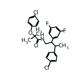 CC(c1ccc(Cl)cc1)C(CNC(=O)C(C)(C)Oc1ccc(Cl)cc1)c1cc(F)cc(F)c1